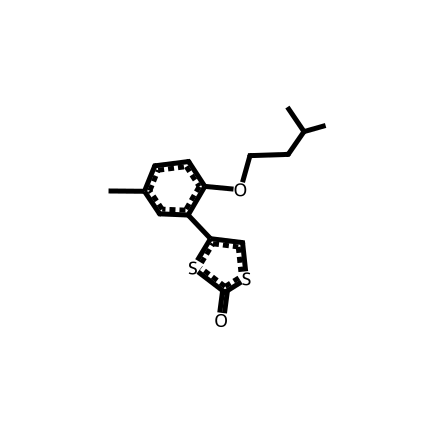 Cc1ccc(OCCC(C)C)c(-c2csc(=O)s2)c1